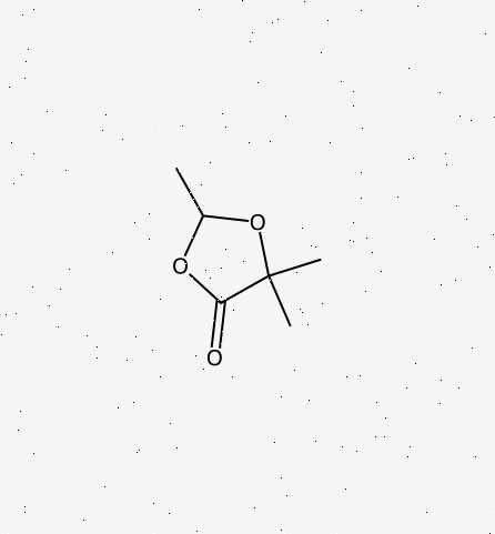 CC1OC(=O)C(C)(C)O1